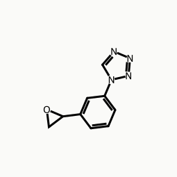 c1cc(C2CO2)cc(-n2cnnn2)c1